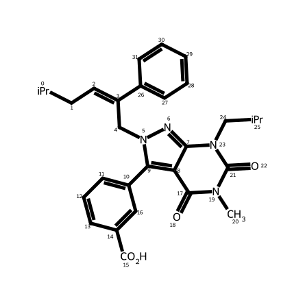 CC(C)C/C=C(\Cn1nc2c(c1-c1cccc(C(=O)O)c1)c(=O)n(C)c(=O)n2CC(C)C)c1ccccc1